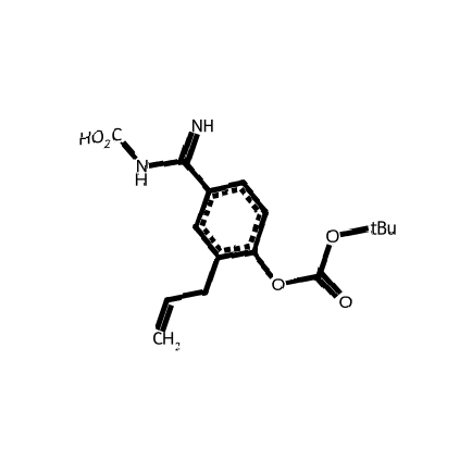 C=CCc1cc(C(=N)NC(=O)O)ccc1OC(=O)OC(C)(C)C